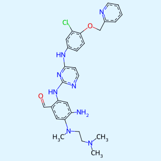 CN(C)CCN(C)c1cc(C=O)c(Nc2nccc(Nc3ccc(OCc4ccccn4)c(Cl)c3)n2)cc1N